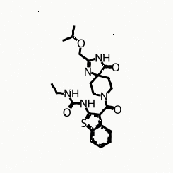 CCNC(=O)Nc1sc2ccccc2c1C(=O)N1CCC2(CC1)N=C(COC(C)C)NC2=O